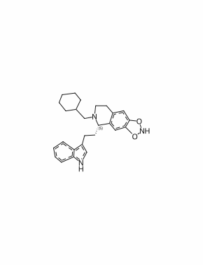 c1ccc2c(CC[C@H]3c4cc5c(cc4CCN3CC3CCCCC3)ONO5)c[nH]c2c1